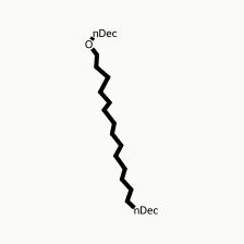 CCCCCCCCCCCCCCCCCCCCCCCCOCCCCCCCCCC